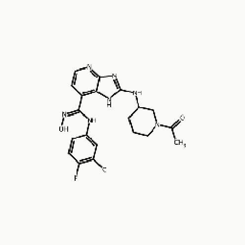 CC(=O)N1CCCC(Nc2nc3nccc(/C(=N/O)Nc4ccc(F)c(Cl)c4)c3[nH]2)C1